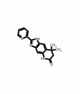 CC1(C)CC(=O)Nc2cc3nc(-c4ccccn4)[nH]c3cc21